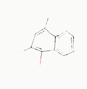 Cc1cc(N)c(O)c2ccccc12